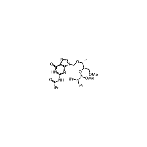 COC[C@@H](OP(OC)N(C(C)C)C(C)C)[C@@H](C)OCn1cnc2c(=O)[nH]c(NC(=O)C(C)C)nc21